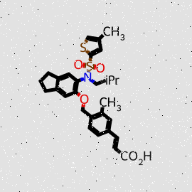 Cc1csc(S(=O)(=O)N(CC(C)C)c2cc3c(cc2OCc2ccc(C=CC(=O)O)cc2C)CCC3)c1